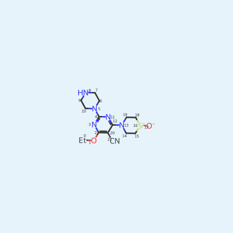 CCOc1nc(N2CCNCC2)nc(N2CC[S+]([O-])CC2)c1C#N